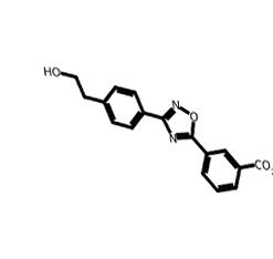 O=C(O)c1cccc(-c2nc(-c3ccc(CCO)cc3)no2)c1